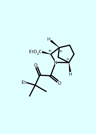 CCOC(=O)[C@H]1[C@@H]2CC[C@@H](C2)N1C(=O)C(=O)C(C)(C)CC